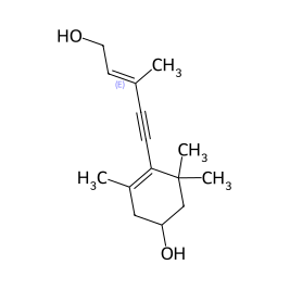 CC1=C(C#C/C(C)=C/CO)C(C)(C)CC(O)C1